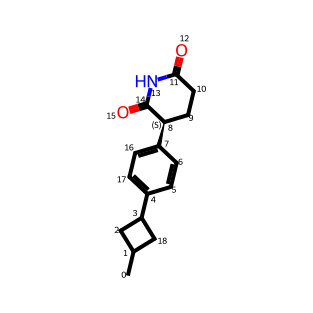 CC1CC(c2ccc([C@@H]3CCC(=O)NC3=O)cc2)C1